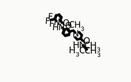 COc1c(CN2CCC(C(=O)NC(C)(C)C)CC2)cccc1NC(=O)c1cccc(C(F)(F)F)n1